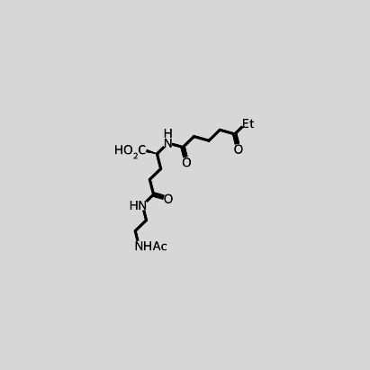 CCC(=O)CCCC(=O)N[C@@H](CCC(=O)NCCNC(C)=O)C(=O)O